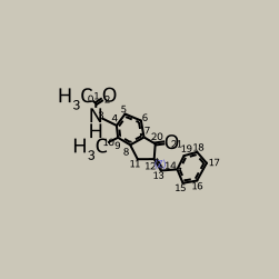 CC(=O)Nc1ccc2c(c1C)C/C(=C/c1ccccc1)C2=O